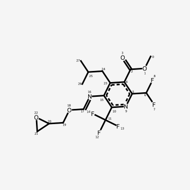 COC(=O)c1c(C(F)F)nc(C(F)(F)F)c(N=COCC2CO2)c1CC(C)C